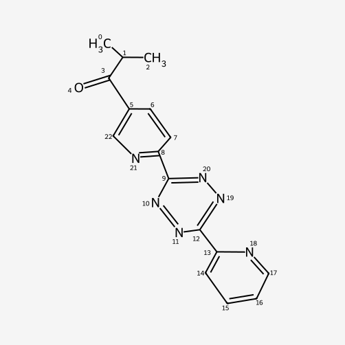 CC(C)C(=O)c1ccc(-c2nnc(-c3ccccn3)nn2)nc1